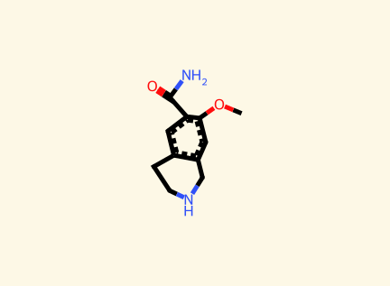 COc1cc2c(cc1C(N)=O)CCNC2